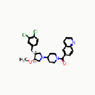 CO[C@@H]1CN(C2CCN(C(=O)c3ccc4ncccc4c3)CC2)C[C@H]1Cc1ccc(Cl)c(Cl)c1